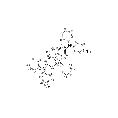 Fc1ccc(N(c2ccccc2)c2cc3ccc4cc(N(c5ccccc5)c5ccc(F)cc5)cc5c4c3c(c2)n5-c2ccccc2)cc1